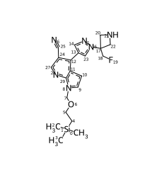 C[Si](C)(C)CCOCn1ccc2c(-c3cnn(C4(CF)CNC4)c3)c(C#N)cnc21